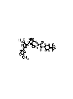 Cc1cc(-c2nc(C)c(-c3nnc(SCC(=O)Nc4ccc(C(F)(F)F)cc4)n3C)s2)no1